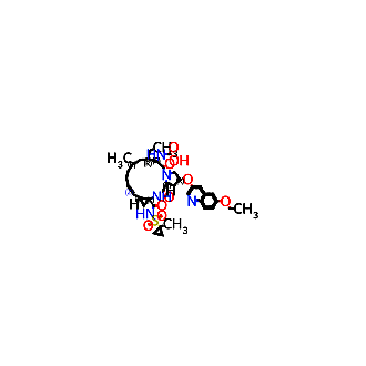 CCOc1ccc2ncc(O[C@@H]3C[C@H]4C(=O)N[C@]5(C(=O)NS(=O)(=O)C6(C)CC6)C[C@H]5/C=C\CC[C@@H](C)C[C@@H](CC)[C@H](NC(=O)O)C(=O)N4C3)cc2c1